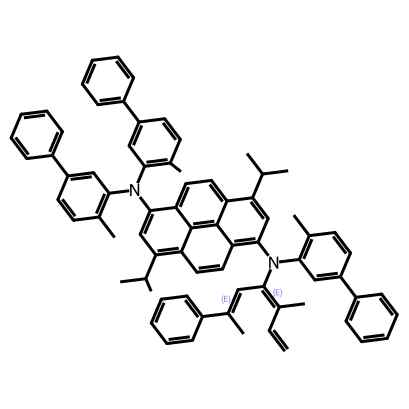 C=C/C(C)=C(\C=C(/C)c1ccccc1)N(c1cc(-c2ccccc2)ccc1C)c1cc(C(C)C)c2ccc3c(N(c4cc(-c5ccccc5)ccc4C)c4cc(-c5ccccc5)ccc4C)cc(C(C)C)c4ccc1c2c43